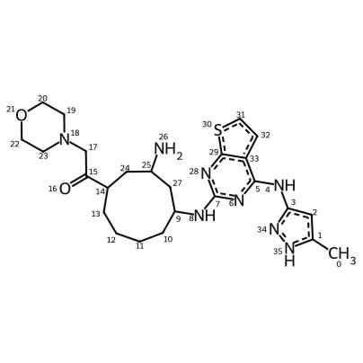 Cc1cc(Nc2nc(NC3CCCCC(C(=O)CN4CCOCC4)CC(N)C3)nc3sccc23)n[nH]1